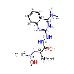 CCCCC[C@@H](CN(O)C=O)C(=O)NNc1nc(N(C)C)c2ccccc2n1